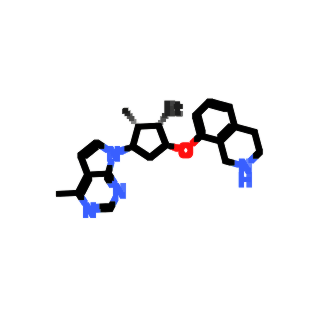 CC[C@H]1[C@@H](C)[C@H](n2ccc3c(C)ncnc32)C[C@@H]1Oc1cccc2c1CNCC2